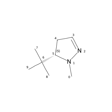 CN1N=CC[C@H]1C(C)(C)C